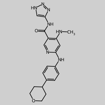 CNc1cc(Nc2ccc(C3CCOCC3)cc2)ncc1C(=O)Nc1c[nH]nn1